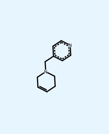 [C]1=CCN(Cc2ccncc2)CC1